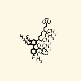 CCC(CCC[C@@H](CCC1OCCO1)C(C)C)c1cc(-c2ccc(F)cc2C(=O)N2[C@H](C)COC[C@H]2C)c2cnn(C)c2c1